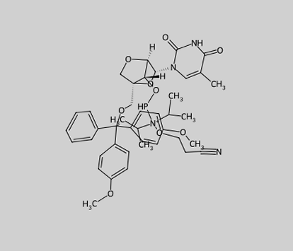 COc1ccc(C(OC[C@@]23CO[C@@H]([C@H](n4cc(C)c(=O)[nH]c4=O)O2)[C@@H]3OP[N+](OCCC#N)(C(C)C)C(C)C)(c2ccccc2)c2ccc(OC)cc2)cc1